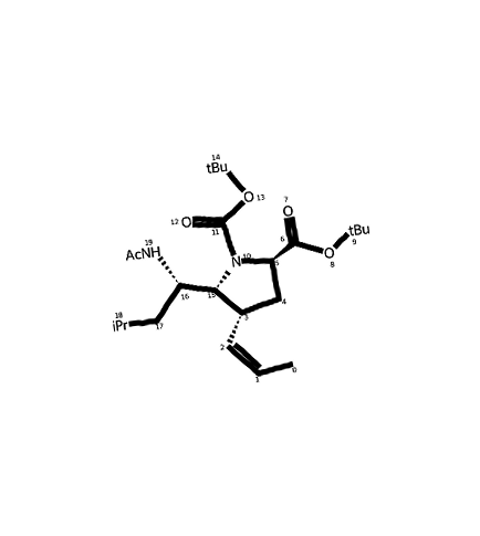 C/C=C\[C@H]1C[C@H](C(=O)OC(C)(C)C)N(C(=O)OC(C)(C)C)[C@H]1[C@H](CC(C)C)NC(C)=O